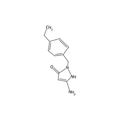 CCc1ccc(Cn2[nH]c(N)cc2=O)cc1